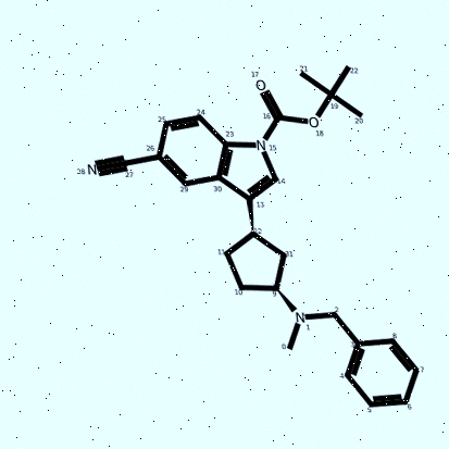 CN(Cc1ccccc1)[C@H]1CC[C@@H](c2cn(C(=O)OC(C)(C)C)c3ccc(C#N)cc23)C1